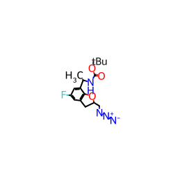 CC(NC(=O)OC(C)(C)C)c1cc(F)cc2c1OC(CN=[N+]=[N-])C2